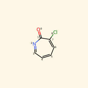 O=c1nccccc1Cl